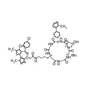 Cc1ncsc1-c1ccc([C@@H]2NC(=O)[C@@H]3C[C@@H](O)CN3C(=O)[C@H](C(C)(C)C)NC(=O)CNC(=O)C[C@@H](CCCCNC(=O)C[C@@H]3N=C(c4ccc(Cl)cc4)c4c(sc(C)c4C)-n4c(C)nnc43)NC(=O)CNC2=O)cc1